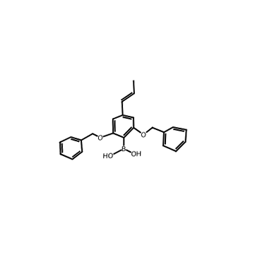 CC=Cc1cc(OCc2ccccc2)c(B(O)O)c(OCc2ccccc2)c1